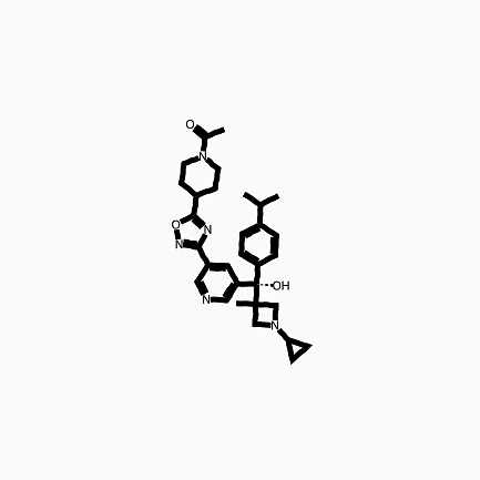 CC(=O)N1CCC(c2nc(-c3cncc([C@@](O)(c4ccc(C(C)C)cc4)C4(C)CN(C5CC5)C4)c3)no2)CC1